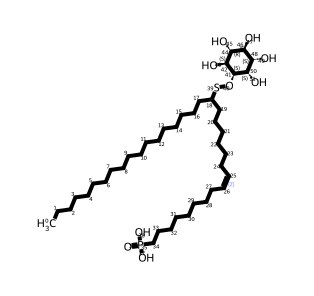 CCCCCCCCCCCCCCCCCCC(CCCCCC/C=C\CCCCCCCCP(=O)(O)O)SO[C@@H]1[C@@H](O)[C@H](O)[C@@H](O)[C@H](O)[C@@H]1O